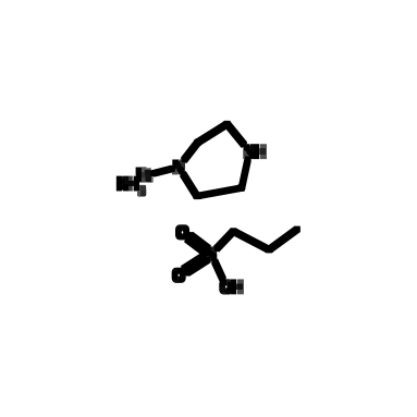 CCCS(=O)(=O)O.CCN1CCNCC1.N